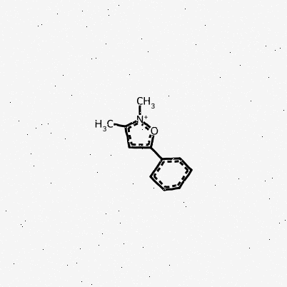 Cc1cc(-c2ccccc2)o[n+]1C